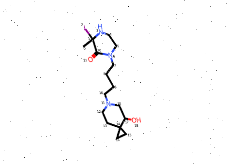 CC1(I)NCCN(CCCCN2CCC3(CC3)C(O)C2)C1=O